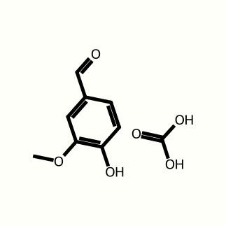 COc1cc(C=O)ccc1O.O=C(O)O